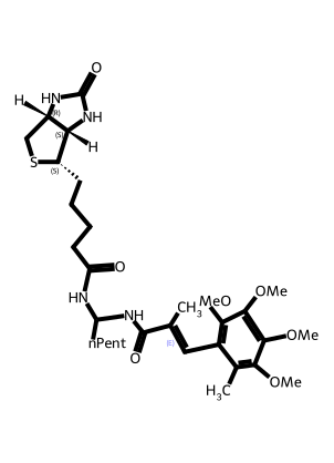 CCCCCC(NC(=O)CCCC[C@@H]1SC[C@@H]2NC(=O)N[C@@H]21)NC(=O)/C(C)=C/c1c(C)c(OC)c(OC)c(OC)c1OC